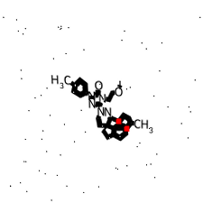 Cc1ccc(C2=NN(c3nn(-c4ccc(C)cc4)c(=O)n3CCOI)C=C[C@]23CCc2ccccc23)cc1